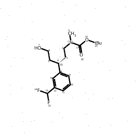 CN(CC[C@@H](CCO)c1cccc(C(F)F)c1)C(=O)OC(C)(C)C